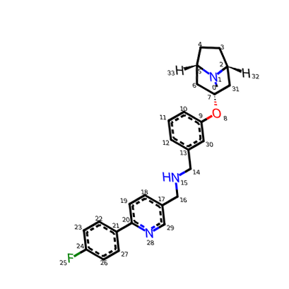 CN1[C@@H]2CC[C@H]1C[C@@H](Oc1cccc(CNCc3ccc(-c4ccc(F)cc4)nc3)c1)C2